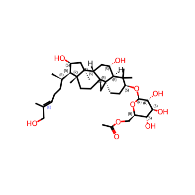 CC(=O)OC[C@H]1O[C@@H](O[C@H]2CC[C@]34C[C@]35CC[C@]3(C)[C@@H]([C@H](C)CC/C=C(\C)CO)[C@@H](O)C[C@@]3(C)[C@@H]5C[C@H](O)[C@H]4C2(C)C)[C@H](O)[C@@H](O)[C@@H]1O